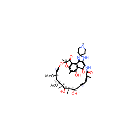 CO[C@H]1/C=C/O[C@@]2(C)Oc3c(C)c(O)c4c(c3C2=O)C2=NC3(CCN(C)CC3)NC2=C(NC(=O)/C(C)=C\C=C\[C@H](C)[C@H](O)[C@@H](C)[C@@H](O)[C@@H](C)[C@H](OC(C)=O)[C@@H]1C)C4=O